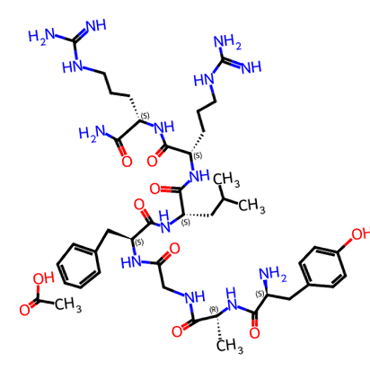 CC(=O)O.CC(C)C[C@H](NC(=O)[C@H](Cc1ccccc1)NC(=O)CNC(=O)[C@@H](C)NC(=O)[C@@H](N)Cc1ccc(O)cc1)C(=O)N[C@@H](CCCNC(=N)N)C(=O)N[C@@H](CCCNC(=N)N)C(N)=O